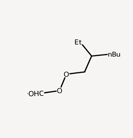 CCCCC(CC)COO[C]=O